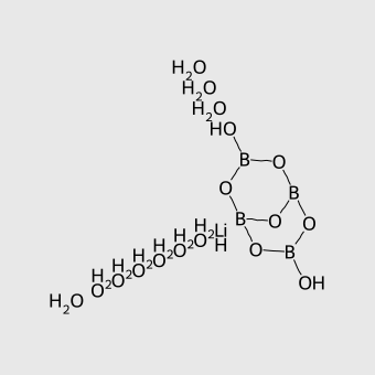 O.O.O.O.O.O.O.O.O.O.OB1OB2OB(O)OB(O1)O2.[LiH]